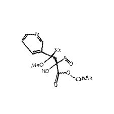 CCC(OC)(c1cccnc1)C(O)(P=O)C(=O)OOC